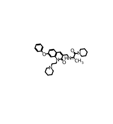 C[C@H](NCc1cc2ccc(Oc3ccccc3)cc2n(CCN2CCCCC2)c1=O)C(=O)N1CCCCC1